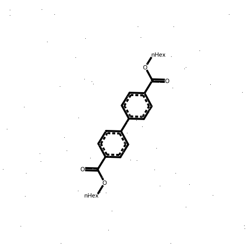 CCCCCCOC(=O)c1ccc(-c2ccc(C(=O)OCCCCCC)cc2)cc1